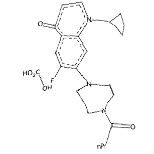 CCCC(=O)N1CCN(c2cc3c(cc2F)c(=O)ccn3C2CC2)CC1.O=C(O)O